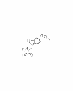 COc1ccc2c(CC(N)C(=O)O)c[nH]c2c1